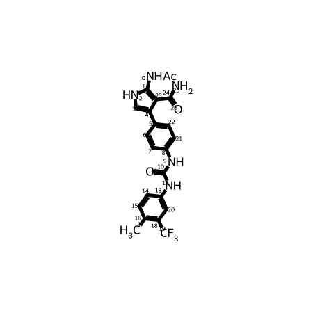 CC(=O)Nc1[nH]cc(-c2ccc(NC(=O)Nc3ccc(C)c(C(F)(F)F)c3)cc2)c1C(N)=O